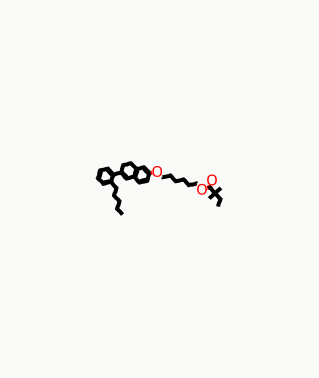 CCCCCc1ccccc1C1=Cc2ccc(OCCCCCCOC(=O)C(C)(C)CC)cc2CC1